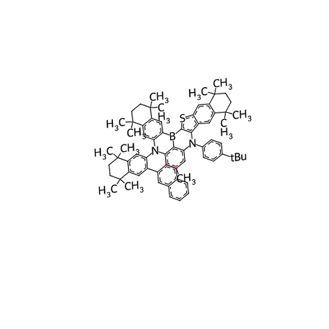 Cc1cc2c3c(c1)N(c1ccc(C(C)(C)C)cc1)c1c(sc4cc5c(cc14)C(C)(C)CCC5(C)C)B3c1cc3c(cc1N2c1cc2c(cc1-c1ccc4ccccc4c1)C(C)(C)CCC2(C)C)C(C)(C)CCC3(C)C